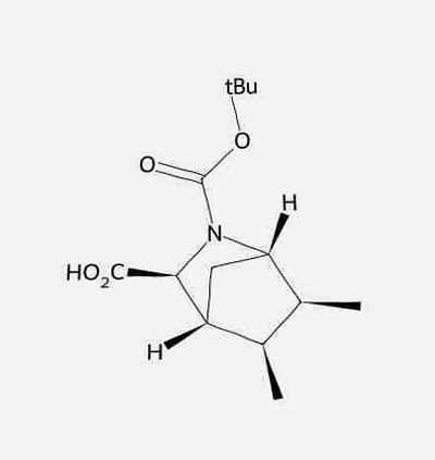 C[C@@H]1[C@H](C)[C@@H]2C[C@H]1[C@@H](C(=O)O)N2C(=O)OC(C)(C)C